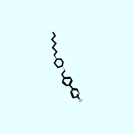 CCCCCCC[C@H]1CC[C@H](CCc2ccc(-c3ccc(Cl)nc3)cc2)CC1